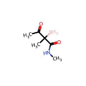 BC(C)(C(C)=O)C(=O)NC